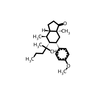 CCCC(C)(C)[C@@H]1[C@@H](C)[C@@H]2CCC(=O)[C@@]2(C)C[C@@H]1c1ccc(OC)cc1